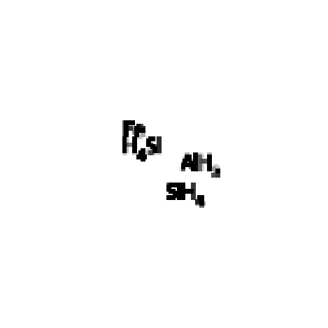 [AlH3].[Fe].[SiH4].[SiH4]